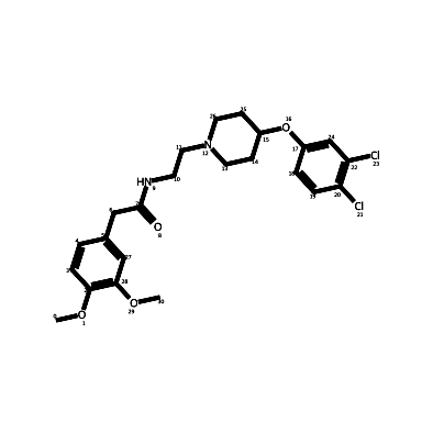 COc1ccc(CC(=O)NCCN2CCC(Oc3ccc(Cl)c(Cl)c3)CC2)cc1OC